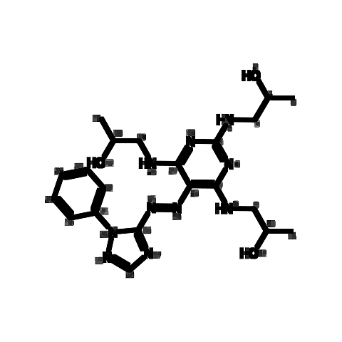 CC(O)CNc1nc(NCC(C)O)c(N=Nc2ncnn2-c2ccccc2)c(NCC(C)O)n1